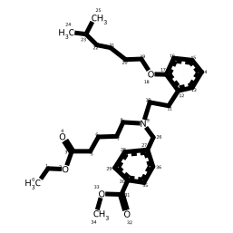 CCOC(=O)CCCCN(CCc1ccccc1OCCCCC(C)C)Cc1ccc(C(=O)OC)cc1